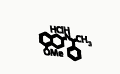 COc1cccc2c1CCC(NC(C)c1ccccc1)C2.Cl